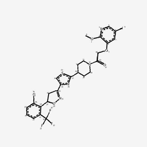 COc1ncc(I)cc1OCC(=O)N1CCC(c2nc(C3=NOC(c4c(Cl)cccc4C(F)(F)F)C3)cs2)CC1